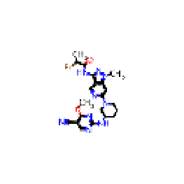 COc1nc(N[C@@H]2CCCN(c3cc4c(cn3)c(NC(=O)C(C)Br)nn4C)C2)ncc1C#N